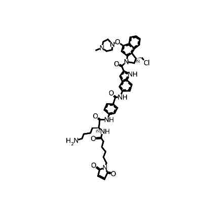 CN1CCN(Oc2cc3c(c4ccccc24)[C@H](CCl)CN3C(=O)c2cc3cc(NC(=O)c4ccc(NC(=O)[C@H](CCCCN)NC(=O)CCCCCN5C(=O)C=CC5=O)cc4)ccc3[nH]2)CC1